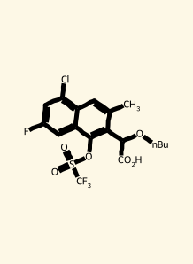 CCCCOC(C(=O)O)c1c(C)cc2c(Cl)cc(F)cc2c1OS(=O)(=O)C(F)(F)F